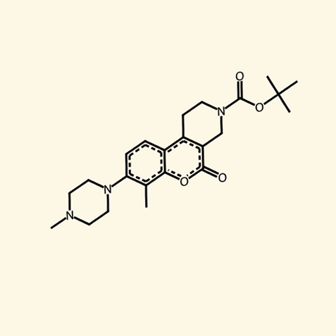 Cc1c(N2CCN(C)CC2)ccc2c3c(c(=O)oc12)CN(C(=O)OC(C)(C)C)CC3